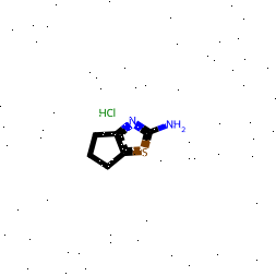 Cl.Nc1nc2c(s1)CCC2